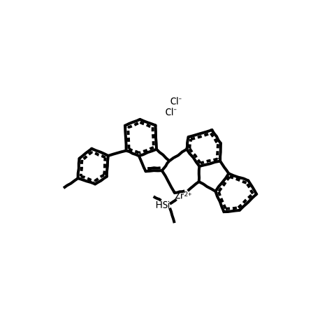 CCC1=Cc2c(-c3ccc(C)cc3)cccc2C1c1cccc2c1[CH]([Zr+2][SiH](C)C)c1ccccc1-2.[Cl-].[Cl-]